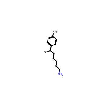 CCCc1ccc(C(CC)CCCCCN)cc1